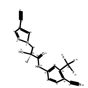 C#Cc1cnn(C[C@](C)(O)C(=O)Nc2ccc(C#N)c(C(F)(F)F)c2)c1